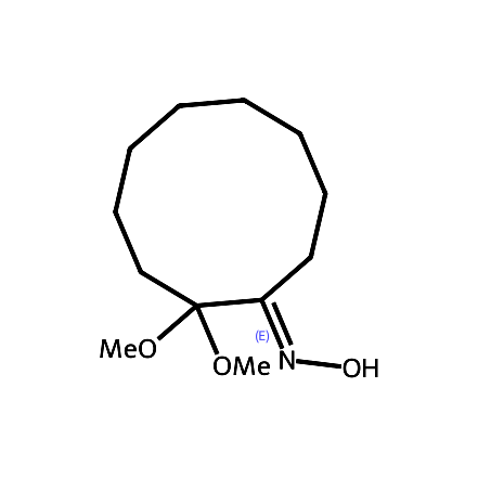 COC1(OC)CCCCCCCC/C1=N\O